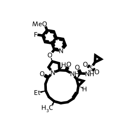 CC[C@H]1CC(=O)N2C[C@H](Oc3nccc4cc(OC)c(F)cc34)C[C@H]2C(=O)N[C@]2(C(=O)NS(=O)(=O)C3CC3)C[C@H]2/C=C\CC[C@@H](C)C1